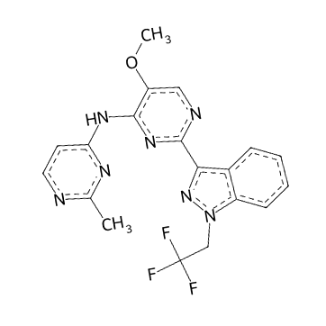 COc1cnc(-c2nn(CC(F)(F)F)c3ccccc23)nc1Nc1ccnc(C)n1